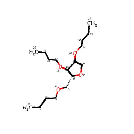 CCCCOC[C@H]1OCC(OCCCC)C1OCCCC